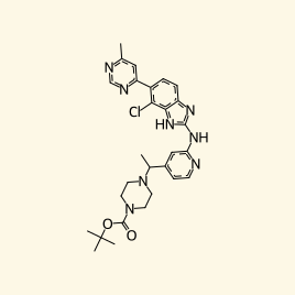 Cc1cc(-c2ccc3nc(Nc4cc(C(C)N5CCN(C(=O)OC(C)(C)C)CC5)ccn4)[nH]c3c2Cl)ncn1